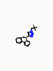 CC(C)(C)Cn1cc(-c2cc3ccccc3c3ccccc23)nn1